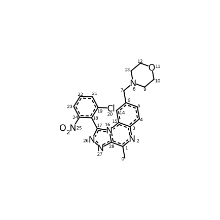 Cc1nc2ccc(CN3CCOCC3)cc2n2c(-c3c(Cl)cccc3[N+](=O)[O-])nnc12